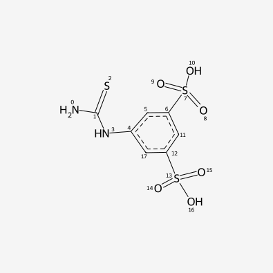 NC(=S)Nc1cc(S(=O)(=O)O)cc(S(=O)(=O)O)c1